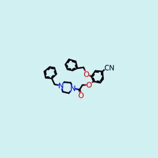 N#Cc1ccc(OCC(=O)N2CCN(Cc3ccccc3)CC2)c(OCc2ccccc2)c1